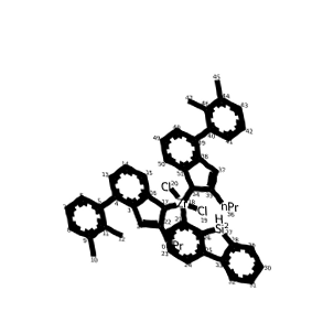 CCCC1=Cc2c(-c3cccc(C)c3C)cccc2[CH]1[Zr]([Cl])([Cl])([c]1cccc2c1[SiH2]c1ccccc1-2)[CH]1C(CCC)=Cc2c(-c3cccc(C)c3C)cccc21